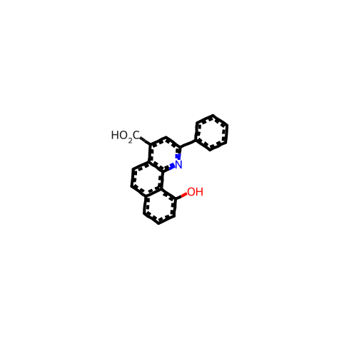 O=C(O)c1cc(-c2ccccc2)nc2c1ccc1cccc(O)c12